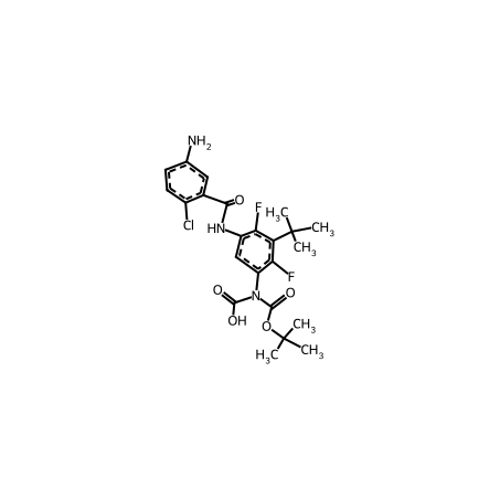 CC(C)(C)OC(=O)N(C(=O)O)c1cc(NC(=O)c2cc(N)ccc2Cl)c(F)c(C(C)(C)C)c1F